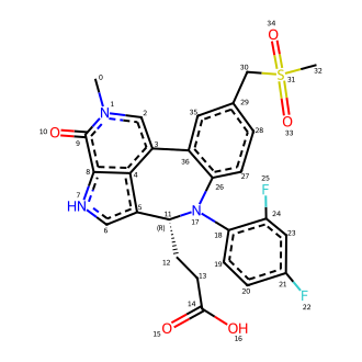 Cn1cc2c3c(c[nH]c3c1=O)[C@@H](CCC(=O)O)N(c1ccc(F)cc1F)c1ccc(CS(C)(=O)=O)cc1-2